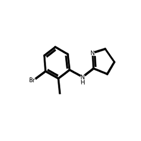 Cc1c(Br)cccc1NC1=NCCC1